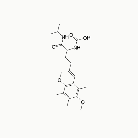 COc1c(C)c(C)c(OC)c(C=CCCC(NC(=O)O)C(=O)NC(C)C)c1C